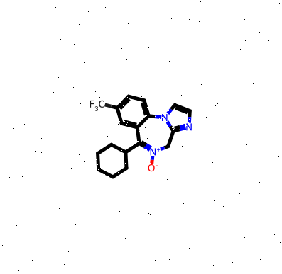 [O-][N+]1=C(C2CCCCC2)c2cc(C(F)(F)F)ccc2-n2ccnc2C1